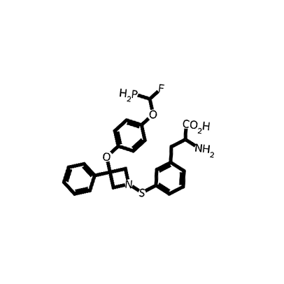 NC(Cc1cccc(SN2CC(Oc3ccc(OC(F)P)cc3)(c3ccccc3)C2)c1)C(=O)O